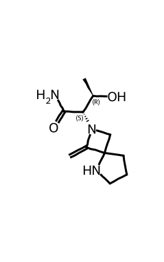 C=C1N([C@H](C(N)=O)[C@@H](C)O)CC12CCCN2